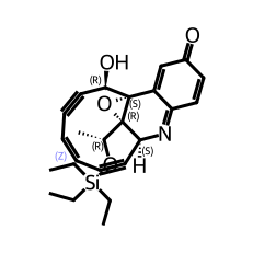 CC[Si](CC)(CC)O[C@H](C)[C@@]12O[C@]13C1=CC(=O)C=CC1=N[C@H]2C#C/C=C\C#C[C@H]3O